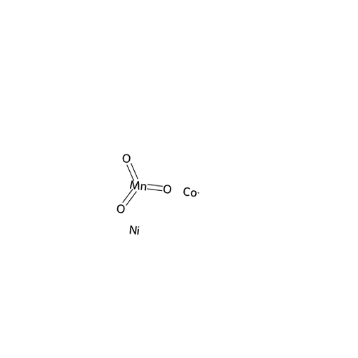 [Co].[Ni].[O]=[Mn](=[O])=[O]